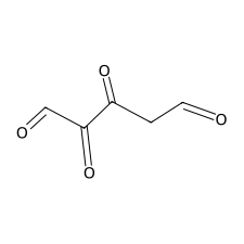 O=CCC(=O)C(=O)C=O